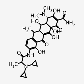 CC1c2ccc(NC(=O)C(C)N(C3CC3)C3CC3)c(O)c2C(=O)C2=C(O)C3(O)C(=O)C(C(N)=O)=C(O)[C@@H](N(C)C)C3C(O)C21